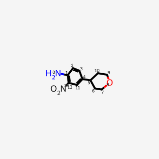 Nc1ccc(C2CCOCC2)cc1[N+](=O)[O-]